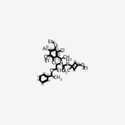 CCOC(=O)C1(NC(=O)N(CCO[C@@H](C)c2ccccc2)[C@H](C)c2c(Cl)c(OCC)c(C(C)=O)c(OCC)c2Cl)CC(OCC)C1